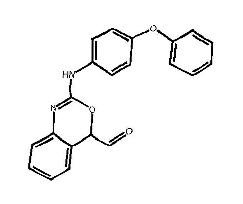 O=CC1OC(Nc2ccc(Oc3ccccc3)cc2)=Nc2ccccc21